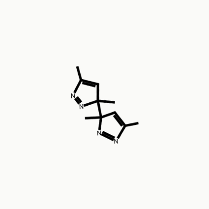 CC1=CC(C)(C2(C)C=C(C)N=N2)N=N1